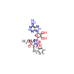 COC(=O)[C@@H](C)N[P@](=O)(Oc1ccccc1)O[C@@H](C)[C@H]1O[C@@H](n2cnc3c(N)ncnc32)[C@H](O)[C@@H]1O